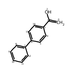 C=C(O)c1ccc(-c2ccccc2)cc1